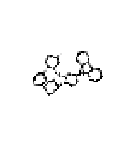 Clc1ccc(-c2ccccc2)c(-n2c3ccccc3c3ccc(-n4c5ccccc5c5ccccc54)cc32)c1